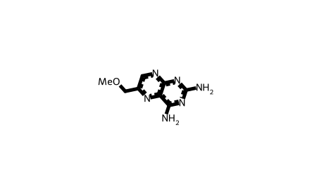 COCc1cnc2nc(N)nc(N)c2n1